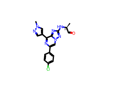 C[C@@H](C=O)Nc1nc2c(-c3cnn(C)c3)nc(-c3ccc(Cl)cc3)cn2n1